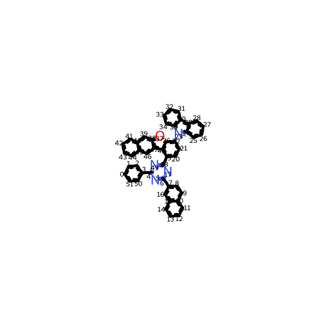 c1ccc(-c2nc(-c3ccc4ccccc4c3)nc(-c3ccc(-n4c5ccccc5c5ccccc54)c4oc5cc6ccccc6cc5c34)n2)cc1